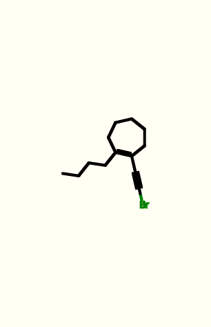 CCCCC1=C(C#CBr)CCCCC1